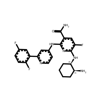 NC(=O)c1cc(F)c(N[C@@H]2CCCC[C@@H]2N)nc1Nc1ccnc(-c2cc(F)ccc2F)c1